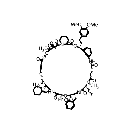 COc1ccc(CC[C@H]2OC(=O)[C@@H]3CCCCN3C(=O)C(=O)C(C)(C)COC(=O)/C=C\CCN(C)C(=O)[C@H](CC3CCCCC3)NC(=O)[C@H](C(C)C)N(C)C(=O)[C@@H](Cc3ccccc3)NC(=O)[C@H](CC(C)C)N(C)C(=O)CCC(=O)Nc3cccc2c3)cc1OC